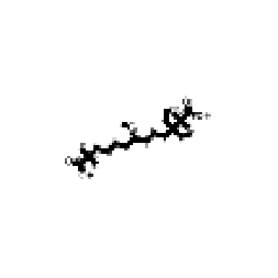 CCC(CC)(CCCC(CCCCC(C)(C)C(=O)O)OC)C(C)(C)C(=O)O